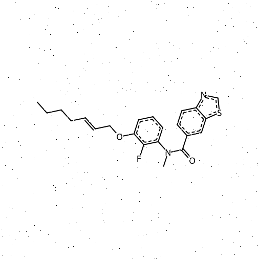 CCCCC=CCOc1cccc(N(C)C(=O)c2ccc3ncsc3c2)c1F